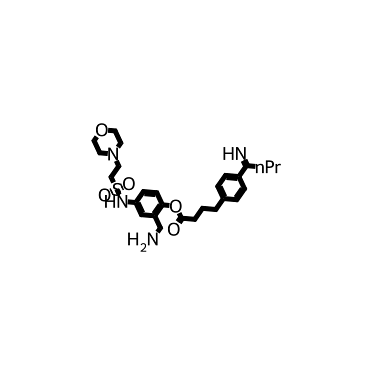 CCCC(=N)c1ccc(CCCC(=O)Oc2ccc(NS(=O)(=O)CCN3CCOCC3)cc2CN)cc1